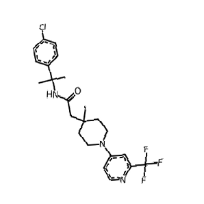 CC1(CC(=O)NC(C)(C)c2ccc(Cl)cc2)CCN(c2ccnc(C(F)(F)F)c2)CC1